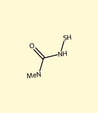 CNC(=O)NS